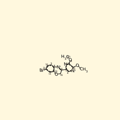 COc1ncc(C2=Nc3ccc(Br)cc3OC2)nc1OC